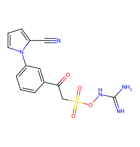 N#Cc1cccn1-c1cccc(C(=O)CS(=O)(=O)ONC(=N)N)c1